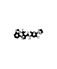 Cc1nc(-n2nccn2)c(Cl)cc1NC(=O)c1cnn(-c2cccc3scnc23)c1C(F)(F)F